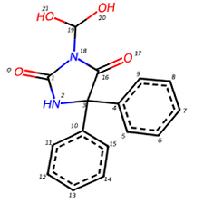 O=C1NC(c2ccccc2)(c2ccccc2)C(=O)N1C(O)O